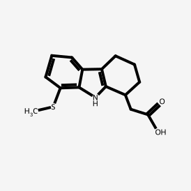 CSc1cccc2c3c([nH]c12)C(CC(=O)O)CCC3